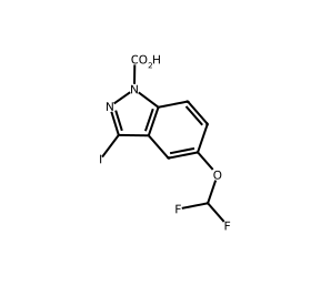 O=C(O)n1nc(I)c2cc(OC(F)F)ccc21